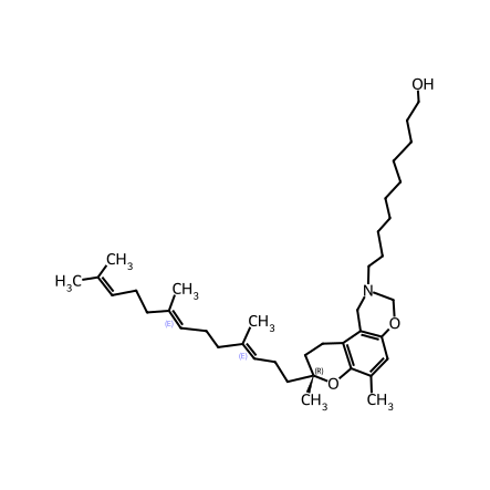 CC(C)=CCC/C(C)=C/CC/C(C)=C/CC[C@]1(C)CCc2c3c(cc(C)c2O1)OCN(CCCCCCCCCCO)C3